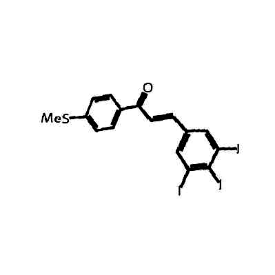 CSc1ccc(C(=O)/C=C/c2cc(I)c(I)c(I)c2)cc1